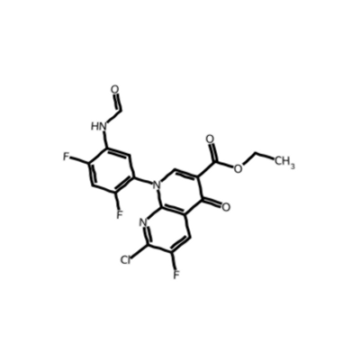 CCOC(=O)c1cn(-c2cc(NC=O)c(F)cc2F)c2nc(Cl)c(F)cc2c1=O